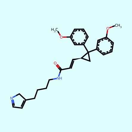 COc1cccc(C2(c3cccc(OC)c3)C[C@H]2/C=C/C(=O)NCCCCC2=CC=NC2)c1